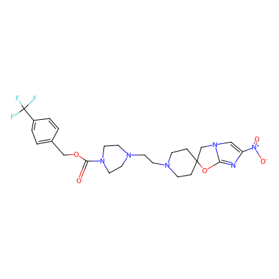 O=C(OCc1ccc(C(F)(F)F)cc1)N1CCN(CCN2CCC3(CC2)Cn2cc([N+](=O)[O-])nc2O3)CC1